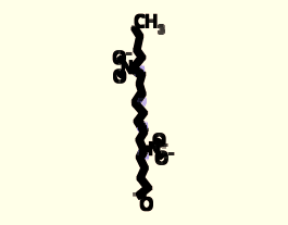 CCCCC/C(=C/C/C=C/C/C=C/C/C(=C/CCC[C]=O)[N+](=O)[O-])[N+](=O)[O-]